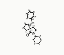 O=C1N(C2CCCCC2)CCC12CCCN2Cc1cccnc1